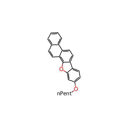 CCCCCOc1ccc2c(c1)oc1c2ccc2c3ccccc3ccc21